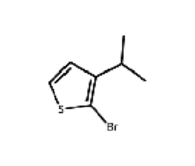 CC(C)c1ccsc1Br